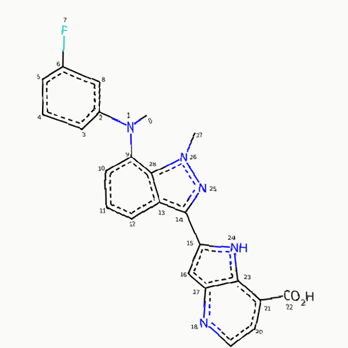 CN(c1cccc(F)c1)c1cccc2c(-c3cc4nccc(C(=O)O)c4[nH]3)nn(C)c12